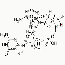 Nc1nc2c(ncn2[C@@H]2O[C@@H]3COP(O)(=S)O[C@H]4[C@H](n5cnc6c(N)ncnc65)O[C@H](COP(O)(=S)O[C@H]3[C@H]2O)[C@]42CC2(F)F)c(=O)[nH]1